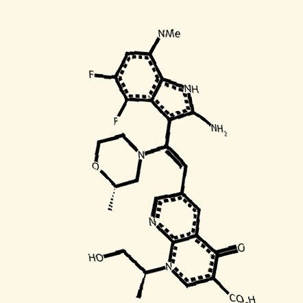 CNc1cc(F)c(F)c2c(/C(=C/c3cnc4c(c3)c(=O)c(C(=O)O)cn4[C@@H](C)CO)N3CCO[C@@H](C)C3)c(N)[nH]c12